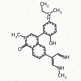 CC[SiH](C)c1ccc(O)c(-c2cn(C)c(=O)c3ccc(/C(C=N)=C/NC)cc23)c1